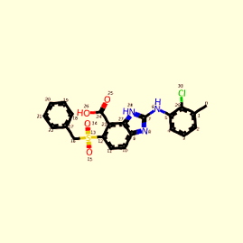 Cc1cccc(Nc2nc3ccc(S(=O)(=O)Cc4ccccc4)c(C(=O)O)c3[nH]2)c1Cl